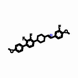 COc1ccc(-c2ccc(C3CCC(/C=C/c4ccc(OC)c(F)c4)CC3)c(F)c2F)cc1